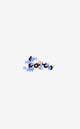 CO[C@]1(C(=O)N[C@@H](C)c2ccc(-n3cc(F)cn3)nc2)CC[C@H](c2nc(Nc3cc(C)[nH]n3)cc(N)c2N=N)CC1